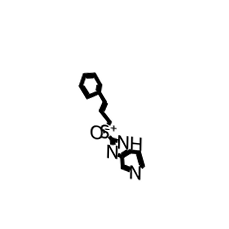 [O-][S+](CC=Cc1ccccc1)c1nc2cnccc2[nH]1